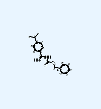 CC(C)c1ccc(C(=N)NC(=O)OCc2ccccc2)cc1